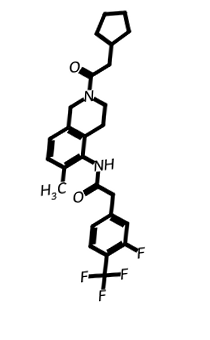 Cc1ccc2c(c1NC(=O)Cc1ccc(C(F)(F)F)c(F)c1)CCN(C(=O)CC1CCCC1)C2